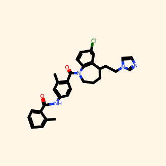 Cc1ccccc1C(=O)Nc1ccc(C(=O)N2CCCC(CCn3ccnc3)c3cc(Cl)ccc32)c(C)c1